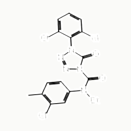 CCN(C(=O)n1nnn(-c2c(Cl)cccc2Cl)c1=O)c1ccc(C)c(Cl)c1